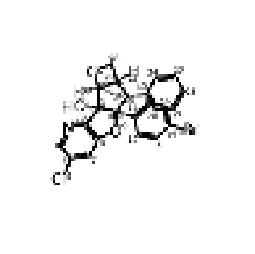 O[C@]12c3ncc(Cl)cc3O[C@@]1(c1ccc(Br)cc1)[C@H](c1ccccc1)[C@H]1CO[C@H]12